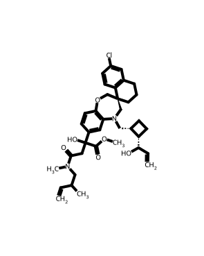 C=CC(C)CN(C)C(=O)CC(O)(C(=O)OC)c1ccc2c(c1)N(C[C@@H]1CC[C@@H]1C(O)C=C)C[C@@]1(CCCc3cc(Cl)ccc31)CO2